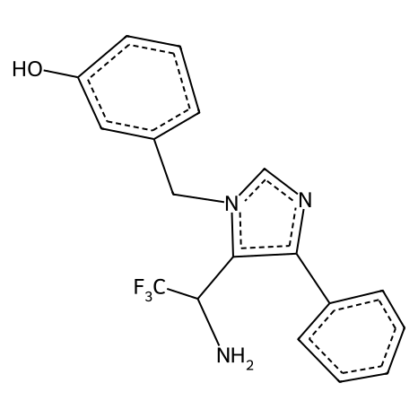 NC(c1c(-c2ccccc2)ncn1Cc1cccc(O)c1)C(F)(F)F